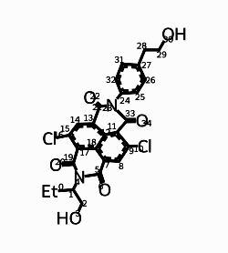 CCC(CO)N1C(=O)c2cc(Cl)c3c4c(cc(Cl)c(c24)C1=O)C(=O)N(c1ccc(CCO)cc1)C3=O